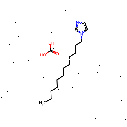 CCCCCCCCCCCCn1ccnc1.O=C(O)O